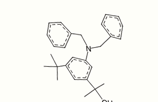 CC(C)(C)c1cc(N(Cc2ccccc2)Cc2ccccc2)cc(C(C)(C)O)c1